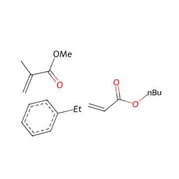 C=C(C)C(=O)OC.C=CC(=O)OCCCC.CCc1ccccc1